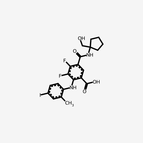 Cc1cc(I)ccc1Nc1c(C(=O)O)cc(C(=O)NC2(CO)CCCC2)c(F)c1F